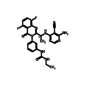 CCNC(=O)Nc1cccc(-n2c([C@H](C)Nc3ncnc(N)c3C#N)nc3c(F)ccc(F)c3c2=O)c1